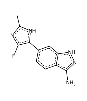 Cc1nc(F)c(-c2ccc3c(N)n[nH]c3c2)[nH]1